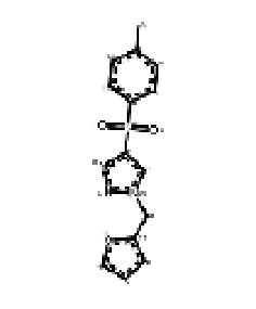 Cc1ccc(S(=O)(=O)c2cn(Cc3ccco3)nn2)cc1